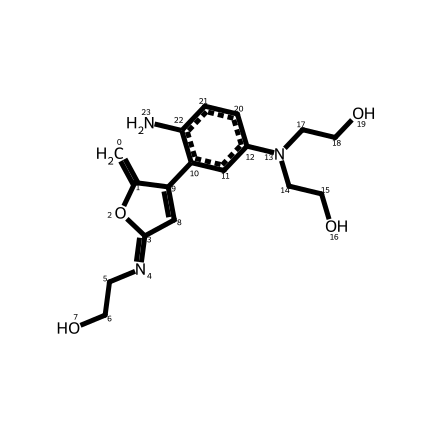 C=C1OC(=NCCO)C=C1c1cc(N(CCO)CCO)ccc1N